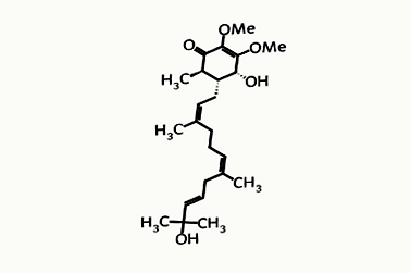 COC1=C(OC)[C@H](O)[C@H](CC=C(C)CCC=C(C)CC=CC(C)(C)O)[C@@H](C)C1=O